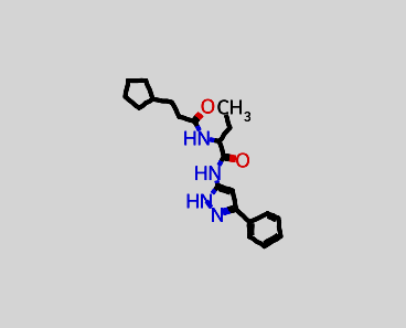 CCC(NC(=O)CCC1CCCC1)C(=O)Nc1cc(-c2ccccc2)n[nH]1